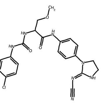 COCC(NC(=O)Nc1ccc(Cl)cc1)C(=O)Nc1ccc(N2CCN/C2=N\C#N)cc1